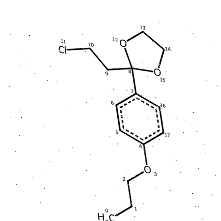 CCCOc1ccc(C2(CCCl)OCCO2)cc1